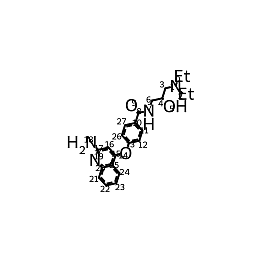 CCN(CC)CC(O)CNC(=O)c1ccc(Oc2cc(N)nc3ccccc23)cc1